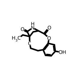 CCC12CCCc3ccc(O)cc3OC(=O)C(C1)NC2=O